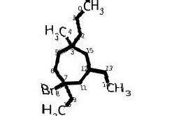 CCCC1(C)CCC(Br)(CC)CC(CC)C1